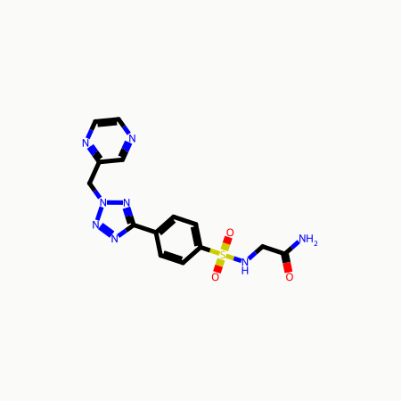 NC(=O)CNS(=O)(=O)c1ccc(-c2nnn(Cc3cnccn3)n2)cc1